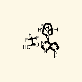 O=C(O)C(F)(F)F.c1nc(N2C[C@H]3CC[C@@H](C2)N3)c2cc[nH]c2n1